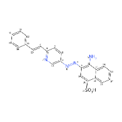 Nc1c(/N=N/c2ccc(/C=C/c3ccccc3)nc2)cc(S(=O)(=O)O)c2ccccc12